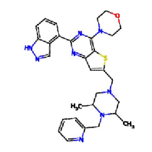 CC1CN(Cc2cc3nc(-c4cccc5[nH]ncc45)nc(N4CCOCC4)c3s2)CC(C)N1Cc1ccccn1